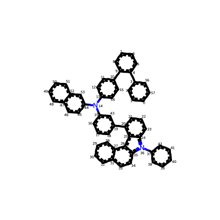 c1ccc(-c2ccccc2-c2ccc(N(c3cccc(-c4cccc5c4c4c6ccccc6ccc4n5-c4ccccc4)c3)c3ccc4ccccc4c3)cc2)cc1